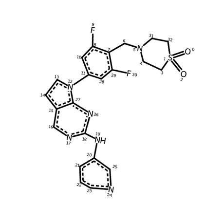 O=S1(=O)CCN(Cc2c(F)cc(-n3ccc4cnc(Nc5cccnc5)nc43)cc2F)CC1